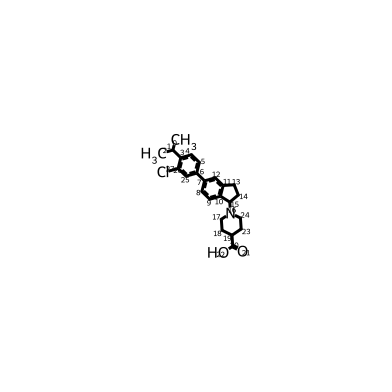 CC(C)c1ccc(-c2ccc3c(c2)CCC3N2CCC(C(=O)O)CC2)cc1Cl